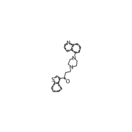 O=C(CCN1CCN(c2cccc3ncccc23)CC1)c1csc2ccccc12